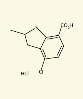 CC1Cc2c(Cl)ccc(C(=O)O)c2S1.Cl